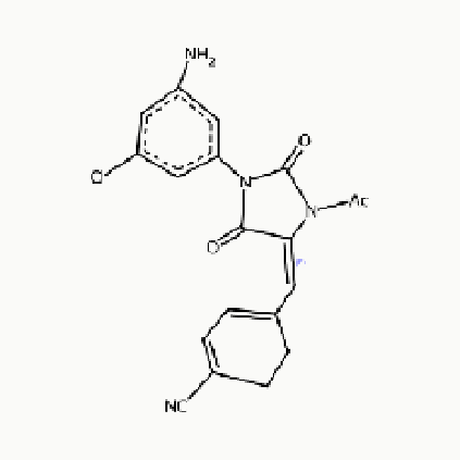 CC(=O)N1C(=O)N(c2cc(N)cc(Cl)c2)C(=O)/C1=C\C1=CC=C(C#N)CC1